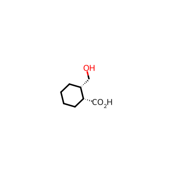 O=C(O)[C@@H]1CCCC[C@@H]1CO